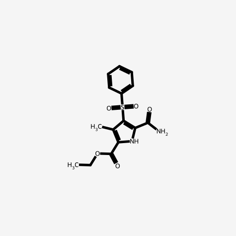 CCOC(=O)c1[nH]c(C(N)=O)c(S(=O)(=O)c2ccccc2)c1C